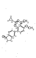 COc1ccc(-c2ccc3c(c2)CCC3=O)c(OC(=O)C2CC2)c1OC